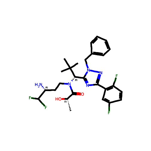 C[C@H](O)C(=O)N(CC[C@@H](N)C(F)F)[C@@H](c1nc(-c2cc(F)ccc2F)nn1Cc1ccccc1)C(C)(C)C